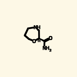 NC(=O)[C@@H]1CNCCCO1